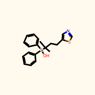 CC(C)(CCc1cncs1)[Si](O)(c1ccccc1)c1ccccc1